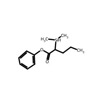 CCCC(C(=O)Oc1ccccc1)[SiH](C)C